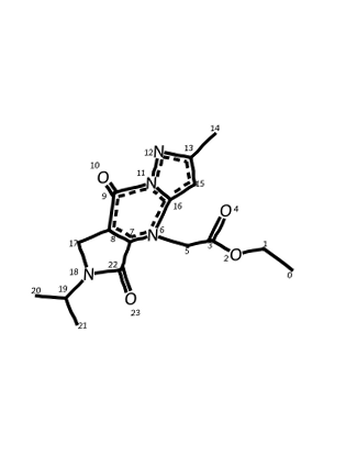 CCOC(=O)Cn1c2c(c(=O)n3nc(C)cc13)CN(C(C)C)C2=O